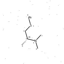 CC(C)SC[C@@H](C)N(C)C